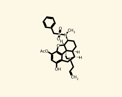 C=CCN1CC[C@]23c4c5c(O)cc(OC(C)=O)c4O[C@H]2[C@@H](N(C)S(=O)(=O)Cc2ccccc2)CC[C@H]3[C@H]1C5